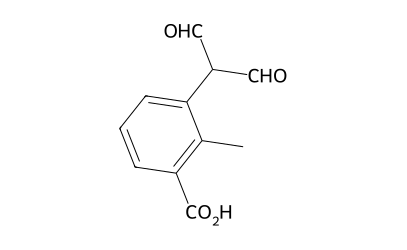 Cc1c(C(=O)O)cccc1C(C=O)C=O